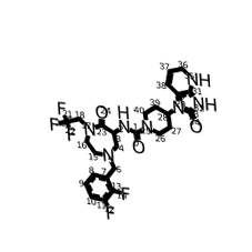 O=C(NC1CN(Cc2cccc(F)c2F)CCN(CC(F)(F)F)C1=O)N1CCC(n2c3c([nH]c2=O)NCC=C3)CC1